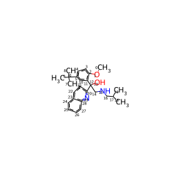 COc1ccc(C(C)(C)C)cc1C(O)(CNCC(C)C)c1ccc2ccccc2n1